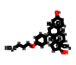 C[C@]12CCC(=O)C[C@@H]1C[C@@H](c1ccc(OCCCC(=O)O)cc1)[C@@H]1[C@@H]2CC[C@]2(C)[C@@H](O)CC[C@@H]12